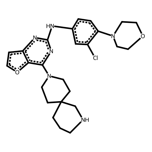 Clc1cc(Nc2nc(N3CCC4(CCCNC4)CC3)c3occc3n2)ccc1N1CCOCC1